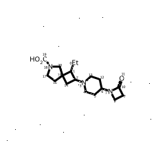 CCC1C(N2CCC(N3CCC3=O)CC2)CC12CCN(C(=O)O)C2